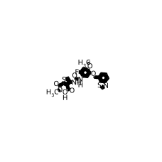 COC(=O)c1scc(NC(=O)Nc2cc(OCc3cccc4ncsc34)c(OC)cc2F)c1C(=O)O